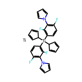 Fc1cc[c]([Ti]([c]2ccc(F)c(-n3cccc3)c2F)([CH]2C=CC=C2)[CH]2C=CC=C2)c(F)c1-n1cccc1.[Ti]